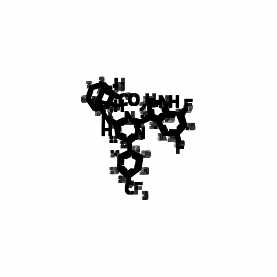 O=C(O)[C@@H]1C2CCC(CC2)[C@H]1Nc1cc(-c2ccc(C(F)(F)F)cc2)nc(-c2c[nH]c3c(F)cc(F)cc23)n1